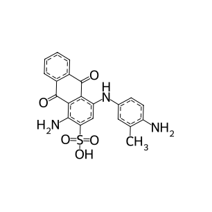 Cc1cc(Nc2cc(S(=O)(=O)O)c(N)c3c2C(=O)c2ccccc2C3=O)ccc1N